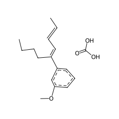 C/C=C/C=C(\CCCC)c1cccc(OC)c1.O=C(O)O